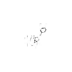 N[C@]1(F)[C@H]2[C@@H](C[C@H]1OCc1ccc(F)c(F)c1)[C@@H]2C(=O)O